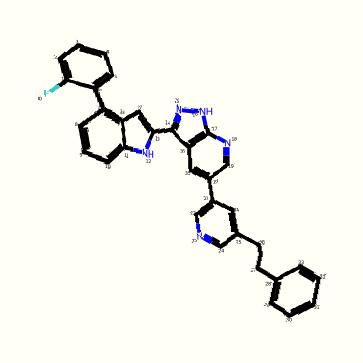 Fc1ccccc1-c1cccc2[nH]c(-c3n[nH]c4ncc(-c5cncc(CCc6ccccc6)c5)cc34)cc12